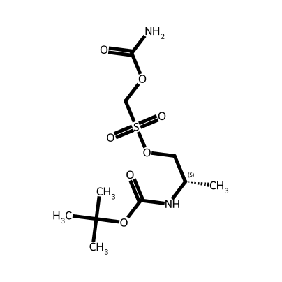 C[C@@H](COS(=O)(=O)COC(N)=O)NC(=O)OC(C)(C)C